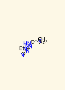 CCn1c(-c2ccncc2)nc2cnc(Nc3ccc(CCN(C)C(C)=O)cc3)nc21